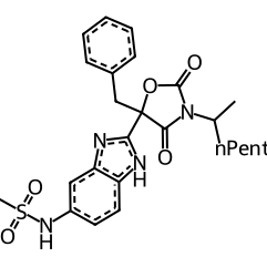 CCCCCC(C)N1C(=O)OC(Cc2ccccc2)(c2nc3cc(NS(C)(=O)=O)ccc3[nH]2)C1=O